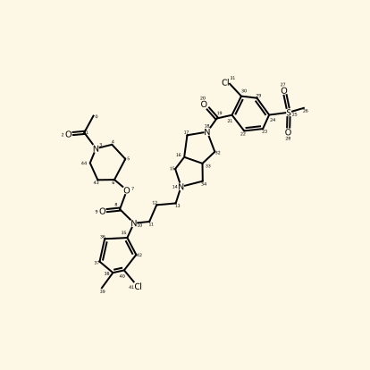 CC(=O)N1CCC(OC(=O)N(CCCN2CC3CN(C(=O)c4ccc(S(C)(=O)=O)cc4Cl)CC3C2)c2ccc(C)c(Cl)c2)CC1